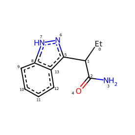 CCC(C(N)=O)c1n[nH]c2ccccc12